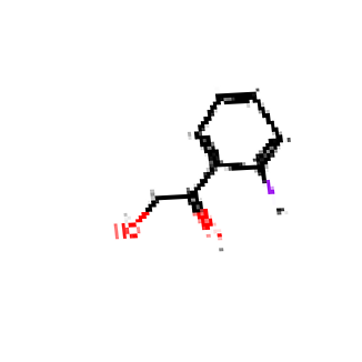 O=C(CO)c1ccccc1I